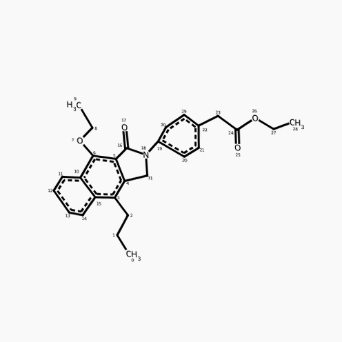 CCCc1c2c(c(OCC)c3ccccc13)C(=O)N(c1ccc(CC(=O)OCC)cc1)C2